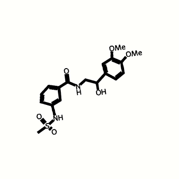 COc1ccc(C(O)CNC(=O)c2cccc(NS(C)(=O)=O)c2)cc1OC